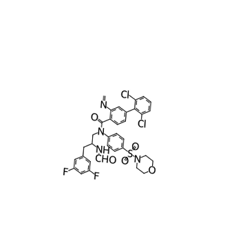 C=Nc1cc(-c2c(Cl)cccc2Cl)ccc1C(=O)N(CC(Cc1cc(F)cc(F)c1)NC=O)c1ccc(S(=O)(=O)N2CCOCC2)cc1